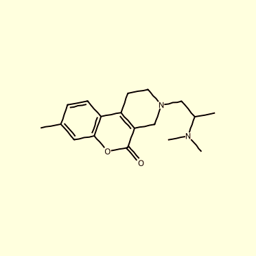 Cc1ccc2c3c(c(=O)oc2c1)CN(CC(C)N(C)C)CC3